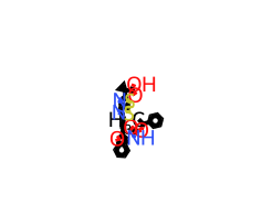 CC(OC(=O)Nc1c(C#Cc2nc3nc(C4(C(=O)O)CC4)sc3s2)oc2ccccc12)c1ccccc1